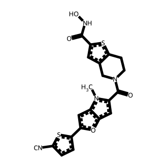 [C-]#[N+]c1ccc(-c2cc3c(cc(C(=O)N4CCc5sc(C(=O)NO)cc5C4)n3C)o2)s1